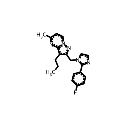 CCCc1c(Cn2ccnc2-c2ccc(F)cc2)nn2ccc(C)nc12